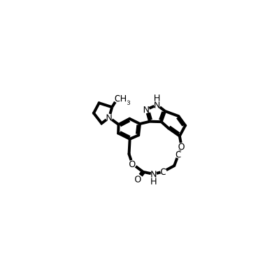 CC1CCCN1c1cc2cc(c1)-c1n[nH]c3ccc(cc13)OCCCNC(=O)OC2